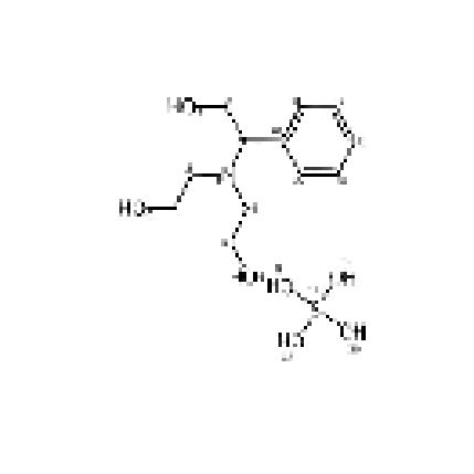 OCCN(CCO)C(CO)c1ccccc1.O[Si](O)(O)O